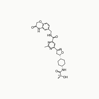 Cc1nc(C(=O)NCc2ccc3c(c2)NC(=O)CO3)cc(C2=NOC([C@H]3CC[C@@H](NC(=O)[C@H](C)O)CC3)C2)n1